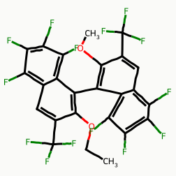 CCOc1c(C(F)(F)F)cc2c(F)c(F)c(F)c(F)c2c1-c1c(OC)c(C(F)(F)F)cc2c(F)c(F)c(F)c(F)c12